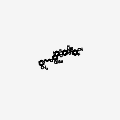 COc1cc2c(Oc3ccc(NS(=O)(=O)c4ccc(F)c(C#N)c4)cc3F)ccnc2cc1OCCCN1CCCC(C)C1